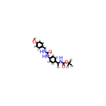 COc1ccc(CNC(=O)Nc2ccc(C(C)NC(=O)OC(C)(C)C)cc2)cc1